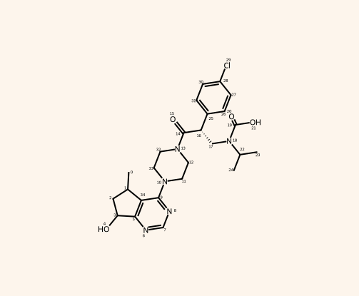 CC1CC(O)c2ncnc(N3CCN(C(=O)[C@@H](CN(C(=O)O)C(C)C)c4ccc(Cl)cc4)CC3)c21